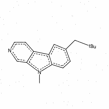 Cn1c2ccc(CC(C)(C)C)cc2c2ccncc21